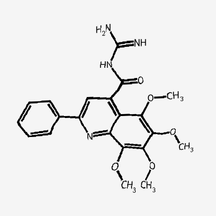 COc1c(OC)c(OC)c2c(C(=O)NC(=N)N)cc(-c3ccccc3)nc2c1OC